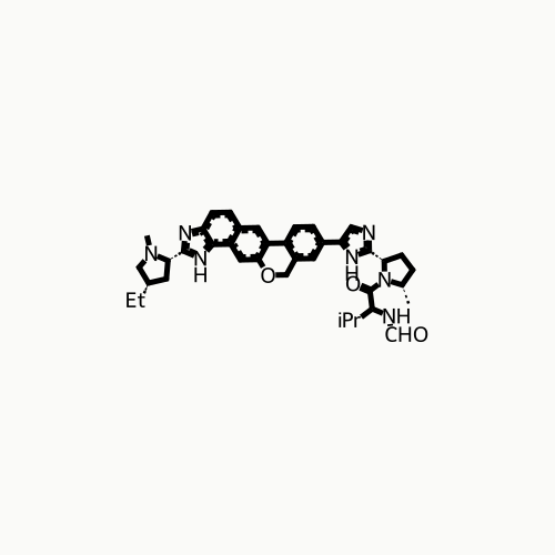 CC[C@H]1C[C@@H](c2nc3ccc4cc5c(cc4c3[nH]2)OCc2cc(-c3cnc([C@@H]4CC[C@H](C)N4C(=O)C(NC=O)C(C)C)[nH]3)ccc2-5)N(C)C1